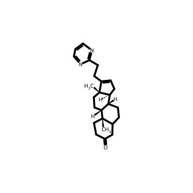 C[C@]12CCC(=O)CC1CC[C@@H]1[C@H]2CC[C@]2(C)C(CCc3ncccn3)=CC[C@@H]12